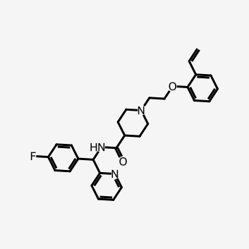 C=Cc1ccccc1OCCN1CCC(C(=O)NC(c2ccc(F)cc2)c2ccccn2)CC1